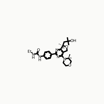 CCNC(=O)Nc1ccc(-c2nc(N3CCOC[C@@H]3C)c3c(n2)[C@@](C)(CC(C)(C)O)OC3)cc1